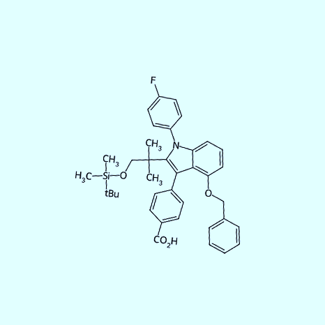 CC(C)(CO[Si](C)(C)C(C)(C)C)c1c(-c2ccc(C(=O)O)cc2)c2c(OCc3ccccc3)cccc2n1-c1ccc(F)cc1